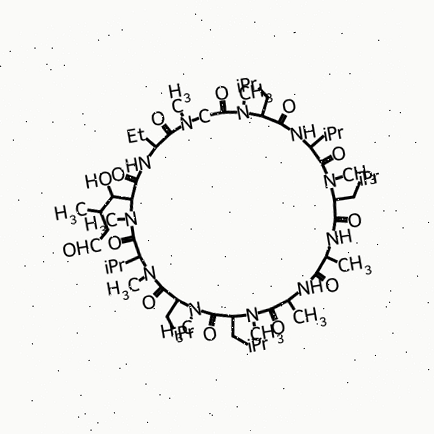 CCC1NC(=O)C(C(O)C(C)CC=O)N(C)C(=O)C(C(C)C)N(C)C(=O)C(CC(C)C)N(C)C(=O)C(CC(C)C)N(C)C(=O)C(C)NC(=O)C(C)NC(=O)C(CC(C)C)N(C)C(=O)C(C(C)C)NC(=O)C(CC(C)C)N(C)C(=O)CN(C)C1=O